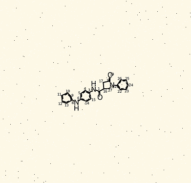 O=C(Nc1ccc(Nc2ccccc2)cc1)C1CC(=O)N(c2ccccc2)C1